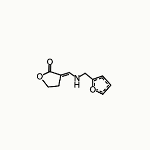 O=C1OCCC1=CNCc1ccco1